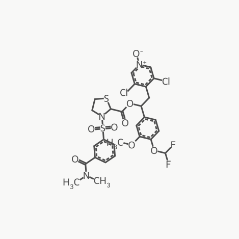 COc1cc(C(Cc2c(Cl)c[n+]([O-])cc2Cl)OC(=O)C2SCCN2S(=O)(=O)c2cccc(C(=O)N(C)C)c2)ccc1OC(F)F